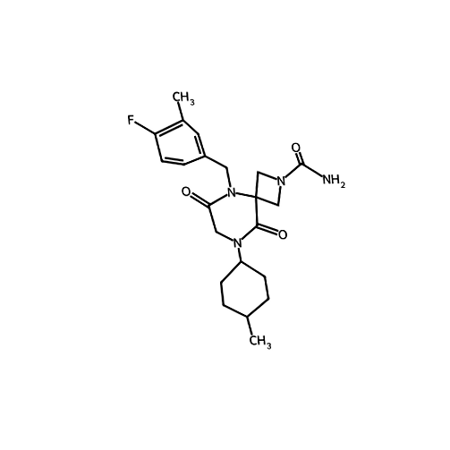 Cc1cc(CN2C(=O)CN(C3CCC(C)CC3)C(=O)C23CN(C(N)=O)C3)ccc1F